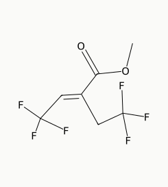 COC(=O)/C(=C/C(F)(F)F)CC(F)(F)F